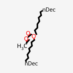 C1CO1.CC1CO1.CCCCCCCCCCCCCCCCCCOCCCCCCCCCCCCCCCCCC